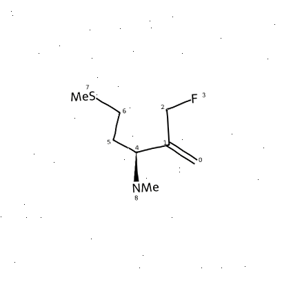 C=C(CF)[C@H](CCSC)NC